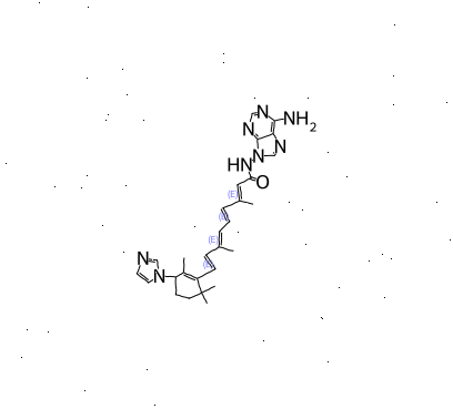 CC1=C(/C=C/C(C)=C/C=C/C(C)=C/C(=O)Nn2cnc3c(N)ncnc32)C(C)(C)CCC1n1ccnc1